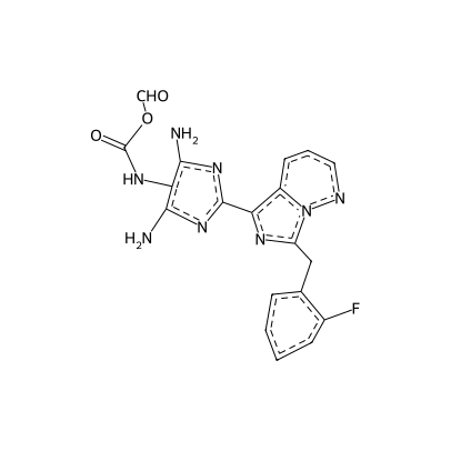 Nc1nc(-c2nc(Cc3ccccc3F)n3ncccc23)nc(N)c1NC(=O)OC=O